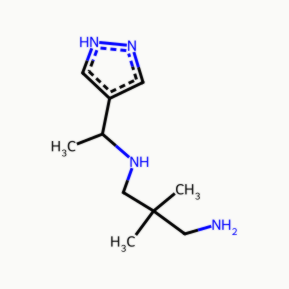 CC(NCC(C)(C)CN)c1cn[nH]c1